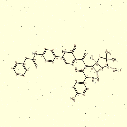 CC1(C)S[C@@H]2[C@H](N(C(=O)c3ccc(-c4ccc(NC(=O)Cc5ccccc5)cc4)[nH]c3=O)C(=O)C(N)c3ccc(O)cc3)C(=O)N2[C@H]1C(=O)O